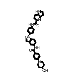 O=C(Nc1ccc2c(cnn2-c2ccc(NC(=O)c3ccc4[nH]ccc4n3)cc2)c1)c1ccc(N2CCC(O)CC2)cc1